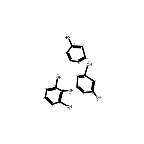 Oc1cccc(O)c1.Oc1cccc(O)c1O.Oc1ccccc1